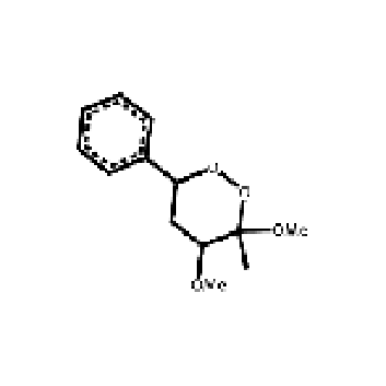 COC1CC(c2ccccc2)OOC1(C)OC